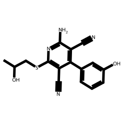 CC(O)CSc1nc(N)c(C#N)c(-c2cccc(O)c2)c1C#N